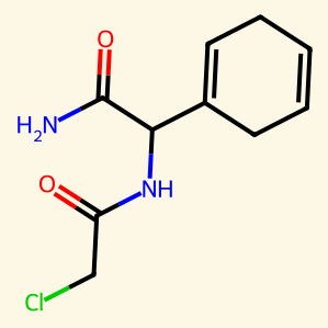 NC(=O)C(NC(=O)CCl)C1=CCC=CC1